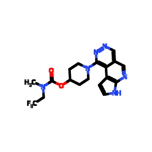 CN(CC(F)(F)F)C(=O)OC1CCN(c2nncc3cnc4[nH]ccc4c23)CC1